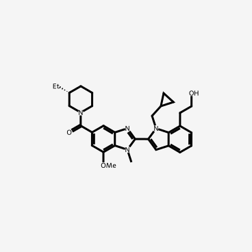 CC[C@@H]1CCCN(C(=O)c2cc(OC)c3c(c2)nc(-c2cc4cccc(CCO)c4n2CC2CC2)n3C)C1